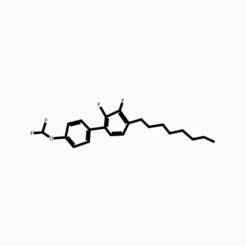 CCCCCCCCc1ccc(-c2ccc(OC(F)F)cc2)c(F)c1F